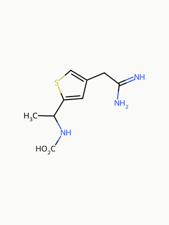 CC(NC(=O)O)c1cc(CC(=N)N)cs1